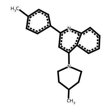 Cc1ccc(-c2cc(N3CCC(C)CC3)c3ccccc3n2)cc1